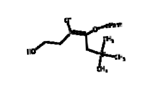 CCCCCO/C(C[N+](C)(C)C)=[P+](\[O-])CCO